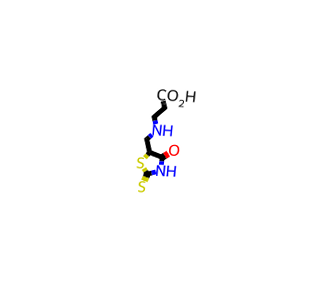 O=C(O)CCNCC1SC(=S)NC1=O